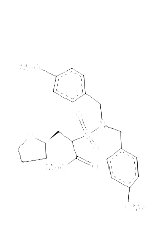 COC(=O)C(C[C@H]1CCCO1)S(=O)(=O)N(Cc1ccc(OC)cc1)Cc1ccc(OC)cc1